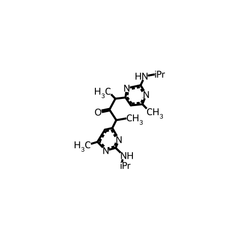 Cc1cc(C(C)C(=O)C(C)c2cc(C)nc(NC(C)C)n2)nc(NC(C)C)n1